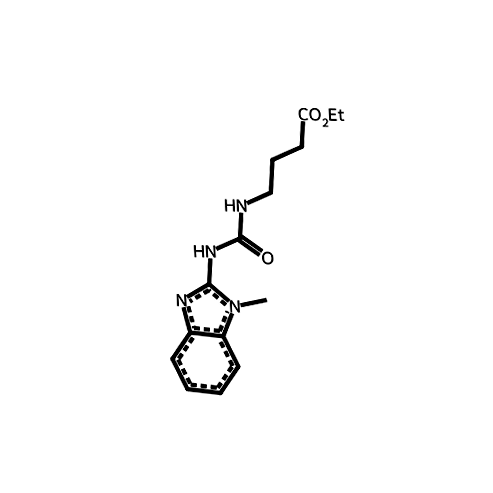 CCOC(=O)CCCNC(=O)Nc1nc2ccccc2n1C